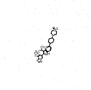 COc1cc(-c2[nH]c3ccc(C4CCC(N5CCS(=O)(=O)CC5)CC4)nc3c2C(C)C)cn2ncnc12